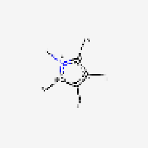 Cc1c(C)c(C)n(C)c1C